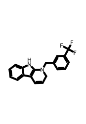 FC(F)(F)c1cccc(CN2CC=Cc3c2[nH]c2ccccc32)c1